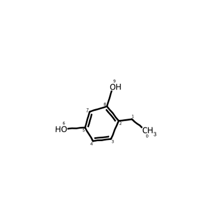 CCc1ccc(O)[c]c1O